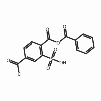 O=C(Cl)c1ccc(C(=O)OC(=O)c2ccccc2)c(S(=O)(=O)O)c1